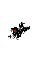 COc1ccc(S(=O)(=O)N2C(=O)C(c3ccccc3C)(N3C[C@H](O)C[C@H]3C(=O)N(C)C)c3cc(Cl)ccc32)c(OC(F)(F)F)c1